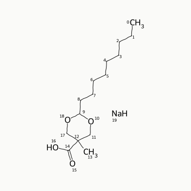 CCCCCCCCCC1OCC(C)(C(=O)O)CO1.[NaH]